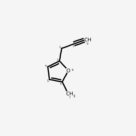 C#CCc1c[c]c(C)o1